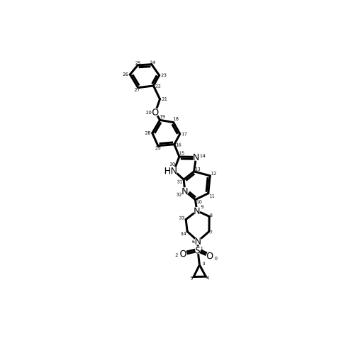 O=S(=O)(C1CC1)N1CCN(c2ccc3nc(-c4ccc(OCc5ccccc5)cc4)[nH]c3n2)CC1